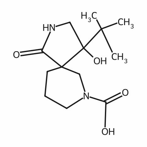 CC(C)(C)C1(O)CNC(=O)C12CCCN(C(=O)O)C2